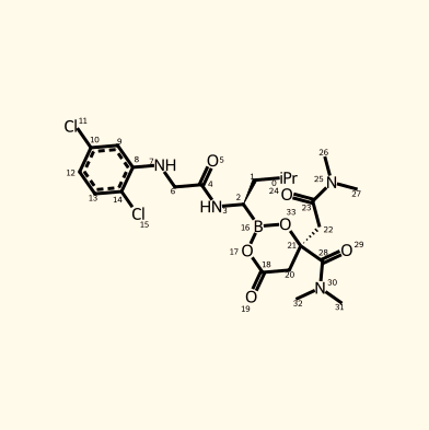 CC(C)C[C@H](NC(=O)CNc1cc(Cl)ccc1Cl)B1OC(=O)C[C@](CC(=O)N(C)C)(C(=O)N(C)C)O1